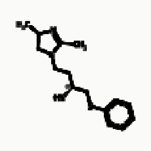 CC1=NC(C)CN1CC[C@@H]([NH])CSc1ccccc1